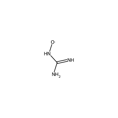 N=C(N)N[O]